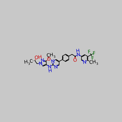 COc1nn(C[C@H](C)O)cc1Nc1ncc(-c2ccc(CC(=O)Nc3cnc(C)c(C(F)(F)F)c3)cc2)cn1